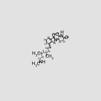 CNCCC(C)CC(C)CCSc1cccc2c1CN(C1CCC(=O)NC1=O)C2=O